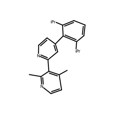 Cc1ccnc(C)c1-c1cc(-c2c(C(C)C)cccc2C(C)C)ccn1